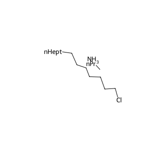 CCCC.CCCCCCCCCCCCCCCl.N